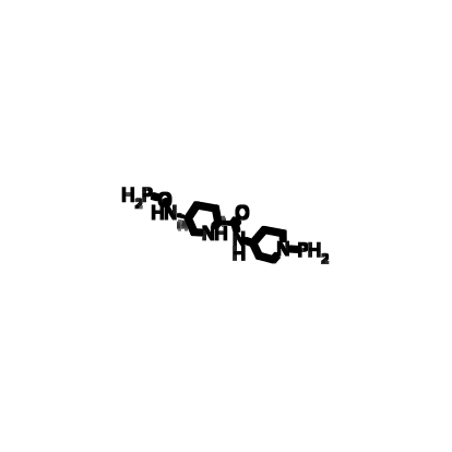 O=C(NC1CCN(P)CC1)[C@@H]1CC[C@@H](NOP)CN1